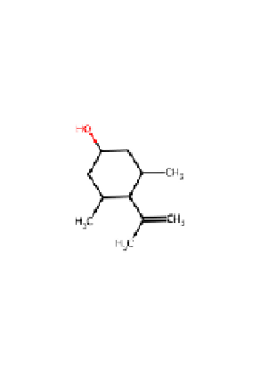 C=C(C)C1C(C)CC(O)CC1C